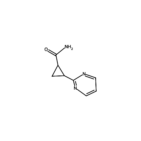 NC(=O)C1CC1c1ncccn1